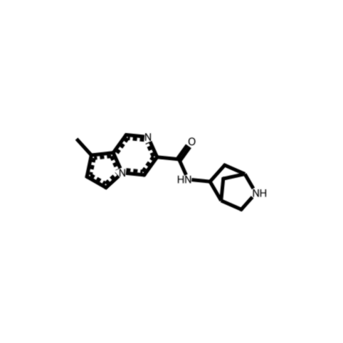 Cc1ccn2cc(C(=O)NC3CC4CC3CN4)ncc12